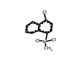 C[Si](Cl)(Cl)c1ccc(Cl)c2ccccc12